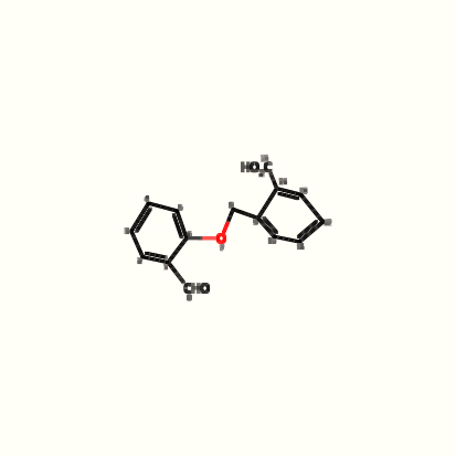 O=Cc1ccccc1OCc1ccccc1C(=O)O